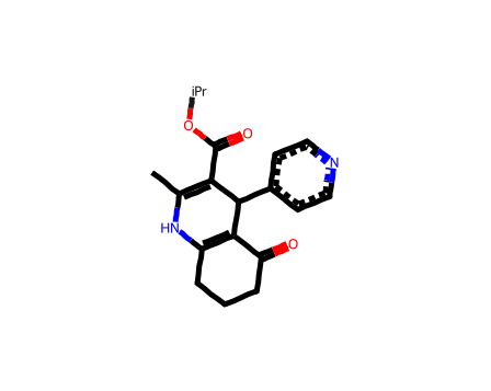 CC1=C(C(=O)OC(C)C)C(c2ccncc2)C2=C(CCCC2=O)N1